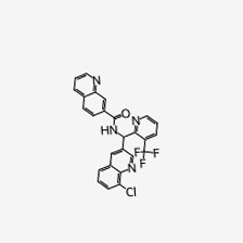 O=C(NC(c1cnc2c(Cl)cccc2c1)c1ncccc1C(F)(F)F)c1ccc2cccnc2c1